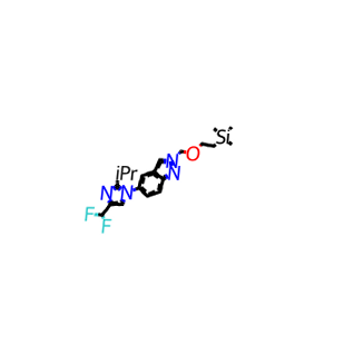 CC(C)c1nc(C(F)F)cn1-c1ccc2nn(COCC[Si](C)(C)C)cc2c1